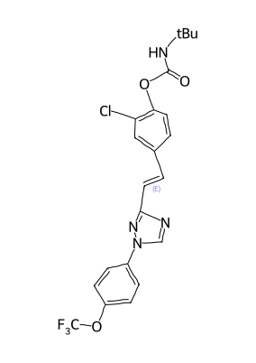 CC(C)(C)NC(=O)Oc1ccc(/C=C/c2ncn(-c3ccc(OC(F)(F)F)cc3)n2)cc1Cl